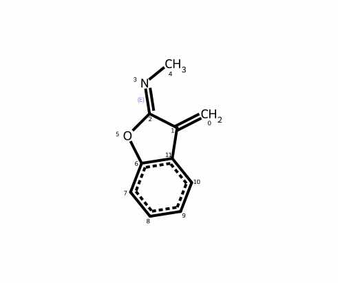 C=C1/C(=N\C)Oc2ccccc21